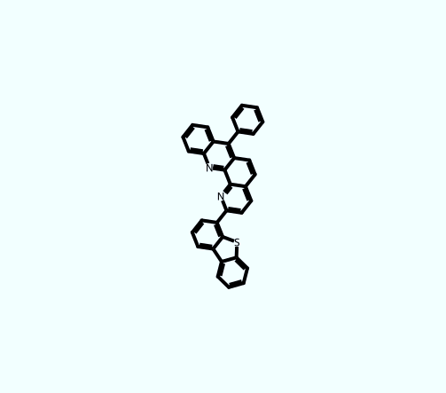 c1ccc(-c2c3ccccc3nc3c2ccc2ccc(-c4cccc5c4sc4ccccc45)nc23)cc1